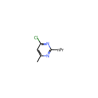 CCCc1nc(C)cc(Cl)n1